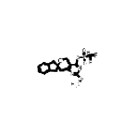 CSc1nc2c(c(OS(=O)(=O)C(F)(F)F)n1)COC1(Cc3ccccc3C1)C2